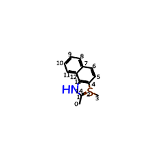 CC1=S(C)c2ccc3ccccc3c2N1